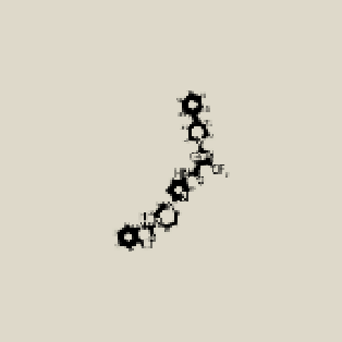 O=C(Nc1ccc(N2CCCN(C(=O)Nc3ccccc3Cl)CC2)nc1)c1oc(N2CCC(c3ccccc3)CC2)nc1C(F)(F)F